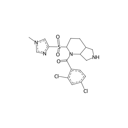 Cn1cnc(S(=O)(=O)C2CCC3CNCC3N2C(=O)c2ccc(Cl)cc2Cl)c1